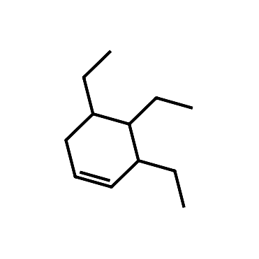 CCC1C=CCC(CC)C1CC